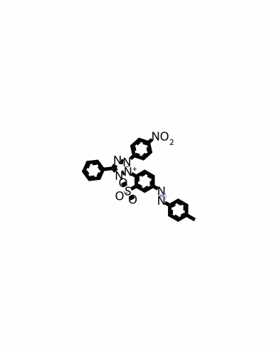 Cc1ccc(/N=N/c2ccc(-[n+]3nc(-c4ccccc4)nn3-c3ccc([N+](=O)[O-])cc3)c(S(=O)(=O)[O-])c2)cc1